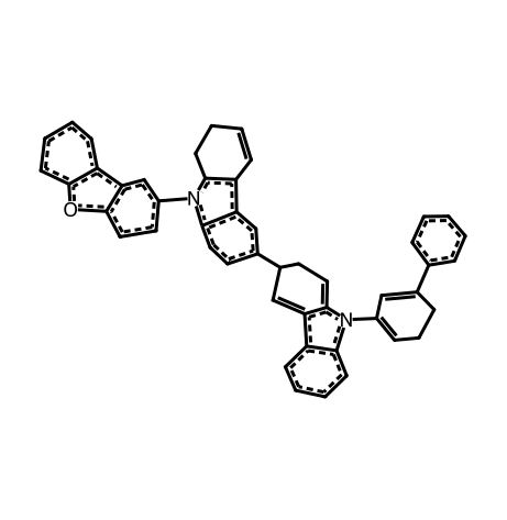 C1=Cc2c(n(-c3ccc4oc5ccccc5c4c3)c3ccc(C4C=c5c(n(C6=CCCC(c7ccccc7)=C6)c6ccccc56)=CC4)cc23)CC1